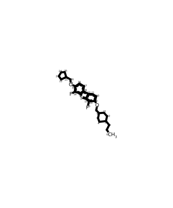 CCCC1CCC(COc2ccc3c(sc4c(F)c(OCC5CCCC5)ccc43)c2F)CC1